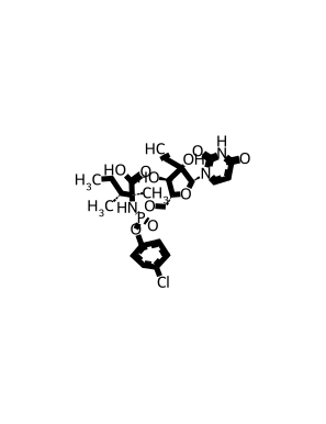 C#C[C@@]1(O)[C@H](O)[C@@H](COP(=O)(N[C@](C)(C(=O)O)[C@H](C)CC)Oc2ccc(Cl)cc2)O[C@H]1n1ccc(=O)[nH]c1=O